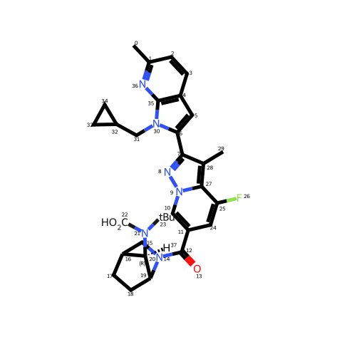 Cc1ccc2cc(-c3nn4cc(C(=O)N5CC6CCC5[C@@H]6N(C(=O)O)C(C)(C)C)cc(F)c4c3C)n(CC3CC3)c2n1